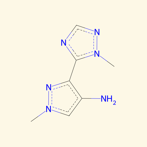 Cn1cc(N)c(-c2ncnn2C)n1